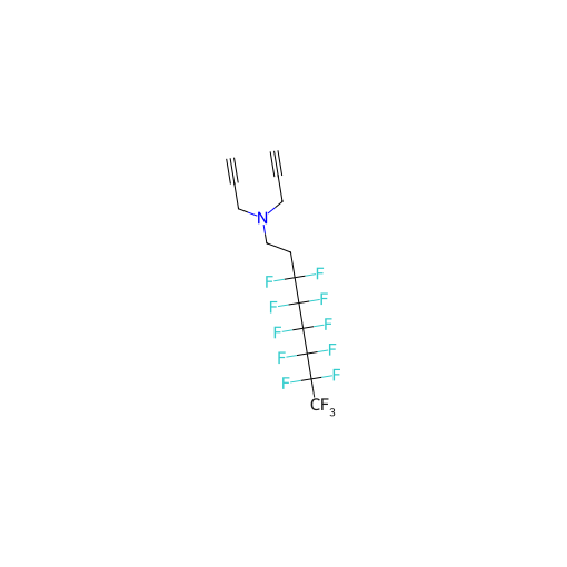 C#CCN(CC#C)CCC(F)(F)C(F)(F)C(F)(F)C(F)(F)C(F)(F)C(F)(F)F